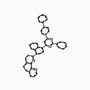 c1ccc(-c2ccc(-c3cc(-c4ccc(-c5ccc6ccc7cccnc7c6n5)c5ccccc45)nc(-c4ccccc4)n3)cc2)cc1